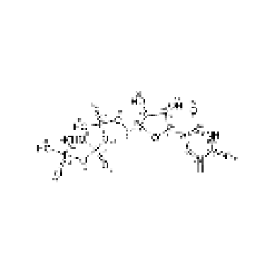 O=c1[nH]cc([C@@H]2O[C@H](COP(O)(=S)OP(=O)(O)OP(=O)(O)O)C(O)[C@@H]2O)c(=O)[nH]1